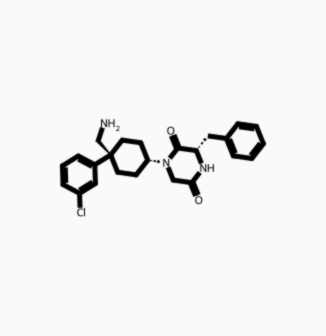 NC[C@]1(c2cccc(Cl)c2)CC[C@@H](N2CC(=O)N[C@@H](Cc3ccccc3)C2=O)CC1